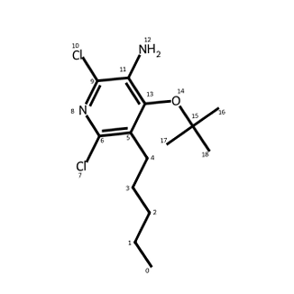 CCCCCc1c(Cl)nc(Cl)c(N)c1OC(C)(C)C